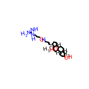 C[C@]12CC[C@H](O)C[C@H]1CC[C@@H]1[C@@H]2CC[C@]2(C)[C@@H](/C=C/C=N/OCCCNC(=N)N)CC[C@]12O